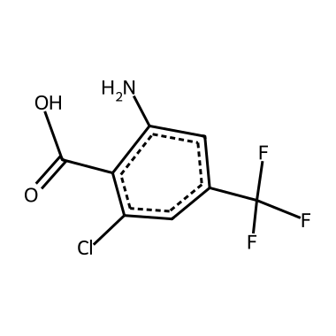 Nc1cc(C(F)(F)F)cc(Cl)c1C(=O)O